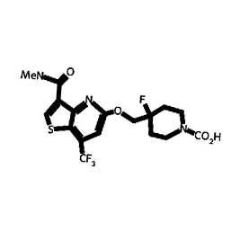 CNC(=O)c1csc2c(C(F)(F)F)cc(OCC3(F)CCN(C(=O)O)CC3)nc12